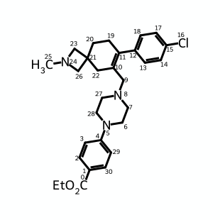 CCOC(=O)c1ccc(N2CCN(CC3=C(c4ccc(Cl)cc4)CCC4(C3)CN(C)C4)CC2)cc1